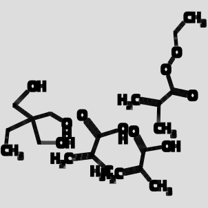 C=C(C)C(=O)O.C=C(C)C(=O)O.C=C(C)C(=O)OOCC.CCC(CO)(CO)CO